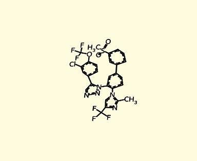 Cc1nc(C(F)(F)F)cn1-c1ccc(-c2cccc(S(C)(=O)=O)c2)cc1-n1nncc1-c1ccc(OC(F)(F)F)c(Cl)c1